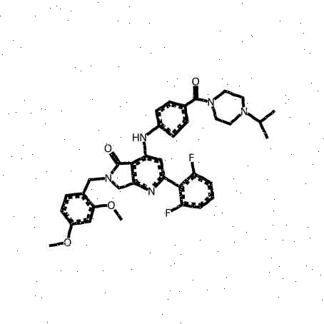 COc1ccc(CN2Cc3nc(-c4c(F)cccc4F)cc(Nc4ccc(C(=O)N5CCN(C(C)C)CC5)cc4)c3C2=O)c(OC)c1